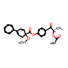 CCCCCCCCOC1(C(=O)Oc2ccc(C(=O)[C@H](C)OC(=O)CCCC)cc2)C=CC(c2ccccc2)=CC1